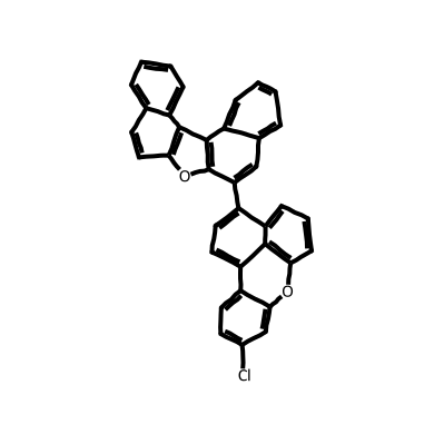 Clc1ccc2c(c1)Oc1cccc3c(-c4cc5ccccc5c5c4oc4ccc6ccccc6c45)ccc-2c13